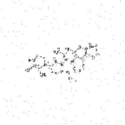 CC=C1C=CC(N2CCNC(=O)[C@H]2C)=NN1/C(=C\C)[C@@H](C)c1c(F)cc2ncccc2c1F